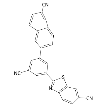 N#Cc1cc(-c2ccc3cc(C#N)ccc3c2)cc(-c2nc3ccc(C#N)cc3s2)c1